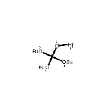 CC(C)COC([O][Hf])(OCC(C)C)OCC(C)C